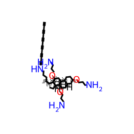 C#CC#CC#CC#CC#CC#CNCCC[C@@H](C)[C@H]1CC[C@H]2[C@@H]3[C@H](OCCCN)C[C@@H]4C[C@H](OCCCN)CC[C@]4(C)[C@H]3C[C@H](OCCCN)[C@]12C